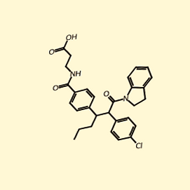 CCCC(c1ccc(C(=O)NCCC(=O)O)cc1)C(C(=O)N1CCc2ccccc21)c1ccc(Cl)cc1